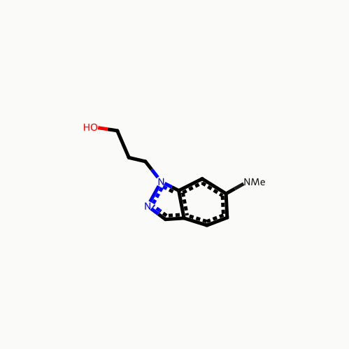 CNc1ccc2cnn(CCCO)c2c1